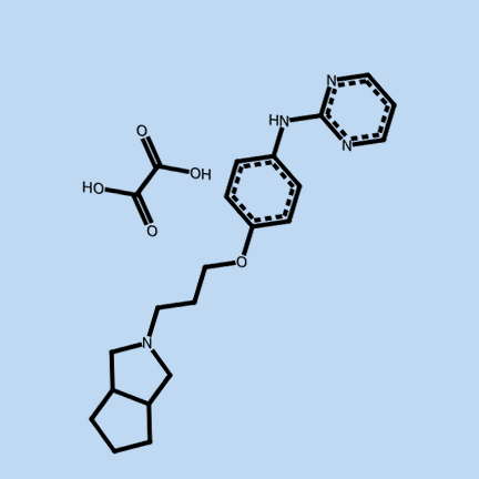 O=C(O)C(=O)O.c1cnc(Nc2ccc(OCCCN3CC4CCCC4C3)cc2)nc1